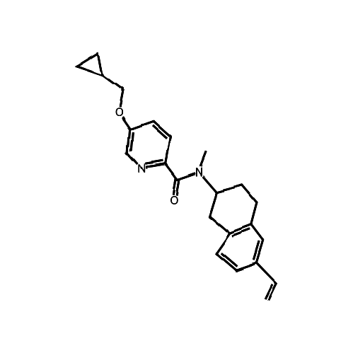 C=Cc1ccc2c(c1)CCC(N(C)C(=O)c1ccc(OCC3CC3)cn1)C2